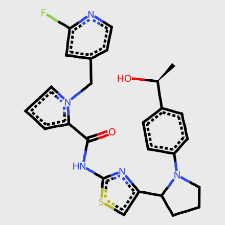 C[C@H](O)c1ccc(N2CCCC2c2csc(NC(=O)c3cccn3Cc3ccnc(F)c3)n2)cc1